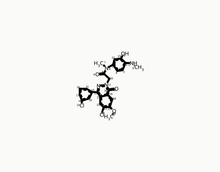 CNc1ccc(N(C)C(=O)Cn2nc(-c3cccc(Cl)c3)c3cc(Cl)c(OC)cc3c2=O)cc1O